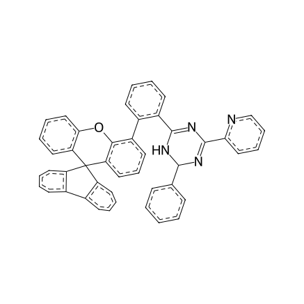 c1ccc(C2N=C(c3ccccn3)N=C(c3ccccc3-c3cccc4c3Oc3ccccc3C43c4ccccc4-c4ccccc43)N2)cc1